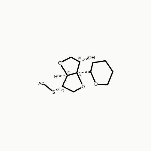 CC(=O)S[C@H]1CO[C@@]2(C3CCCCO3)[C@@H]1OC[C@@H]2O